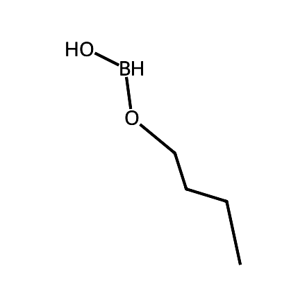 CCCCOBO